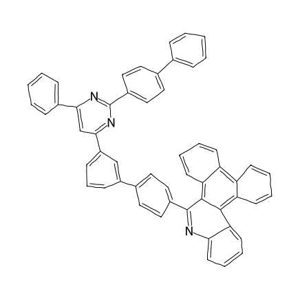 c1ccc(-c2ccc(-c3nc(-c4ccccc4)cc(-c4cccc(-c5ccc(-c6nc7ccccc7c7c8ccccc8c8ccccc8c67)cc5)c4)n3)cc2)cc1